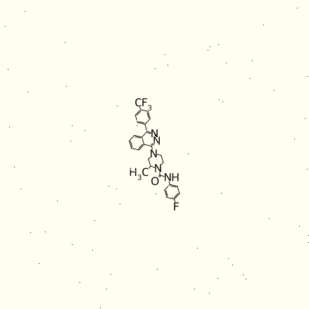 C[C@H]1CN(c2nnc(-c3ccc(C(F)(F)F)cc3)c3ccccc23)CCN1C(=O)Nc1ccc(F)cc1